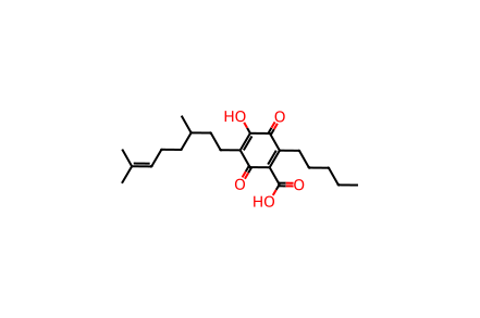 CCCCCC1=C(C(=O)O)C(=O)C(CCC(C)CCC=C(C)C)=C(O)C1=O